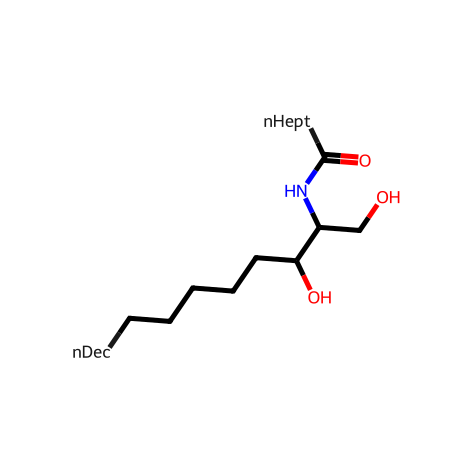 CCCCCCCCCCCCCCCC(O)C(CO)NC(=O)CCCCCCC